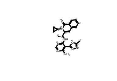 Cc1nnc(-c2c(N)ncnc2N[C@@H](C)c2cc3ccccc3c(=O)n2C2CC2)o1